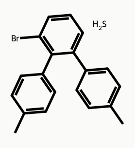 Cc1ccc(-c2cccc(Br)c2-c2ccc(C)cc2)cc1.S